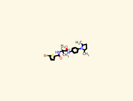 CC1CCC(C)N1c1ccc(NC(=O)C(C)(C)NC(=O)c2ccc(Br)s2)cc1